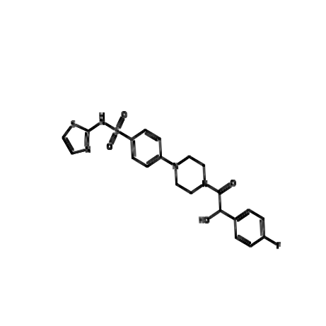 O=C(C(O)c1ccc(F)cc1)N1CCN(c2ccc(S(=O)(=O)Nc3nccs3)cc2)CC1